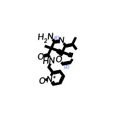 C#CC(C)(O/C=C\C)C(/N=C(/N)C(C)(C#C)C(=O)NCc1cccc[n+]1[O-])=C(C)C